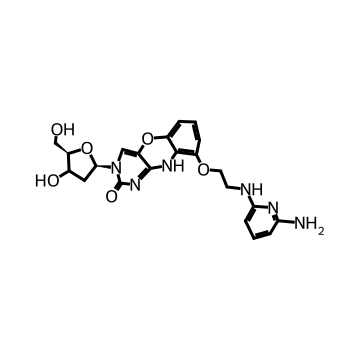 Nc1cccc(NCCOc2cccc3c2Nc2nc(=O)n([C@H]4CC(O)[C@@H](CO)O4)cc2O3)n1